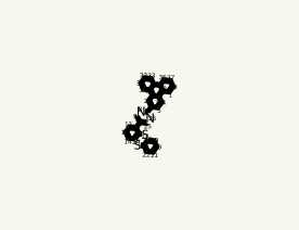 C1=CC2=c3ccc(-c4ncc(-c5cccc6c5Sc5ccccc5S6)cn4)cc3=C3C=CC=CC3C2C=C1